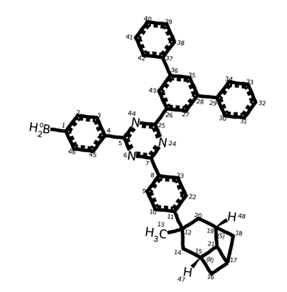 Bc1ccc(-c2nc(-c3ccc(C4(C)C[C@H]5CC6C[C@@H](C4)C65)cc3)nc(-c3cc(-c4ccccc4)cc(-c4ccccc4)c3)n2)cc1